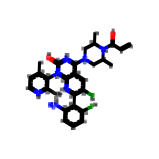 C=CC(=O)N1C(C)CN(c2nc(=O)n(-c3c(C)ccnc3C(C)C)c3nc(-c4c(N)cccc4F)c(F)cc23)CC1C